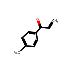 C=CC(=O)c1ccc(OC(C)=O)cc1